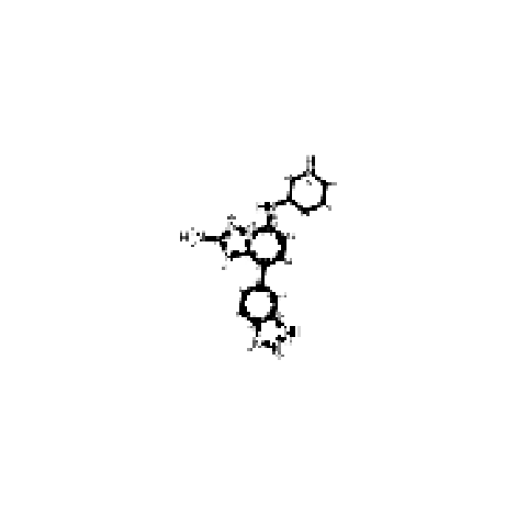 Nc1nc2c(-c3ccc4nn[nH]c4c3)ccc(NC3CCCNC3)n2n1